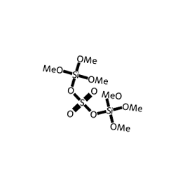 CO[Si](OC)(OC)OS(=O)(=O)O[Si](OC)(OC)OC